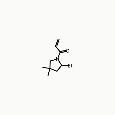 C=CC(=O)N1CC(C)(C)CC1CC